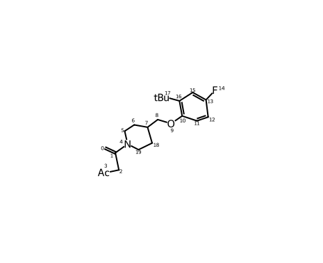 C=C(CC(C)=O)N1CCC(COc2ccc(F)cc2C(C)(C)C)CC1